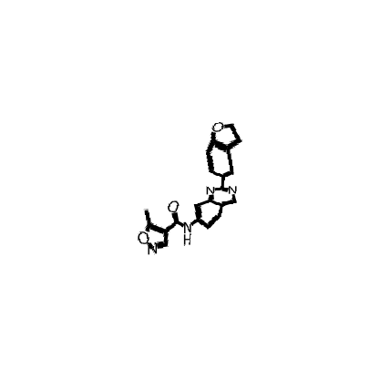 Cc1oncc1C(=O)Nc1ccc2cnc(-c3ccc4c(c3)CCO4)nc2c1